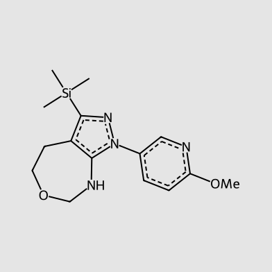 COc1ccc(-n2nc([Si](C)(C)C)c3c2NCOCC3)cn1